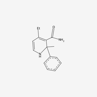 CCC1=C(C(N)=O)C(C)(c2ccccc2)NC=C1